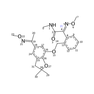 CNC(=O)/C(=N/OC)c1ccccc1COc1cc(C(C)=NOC)cc2c1OC(C)(C)C2